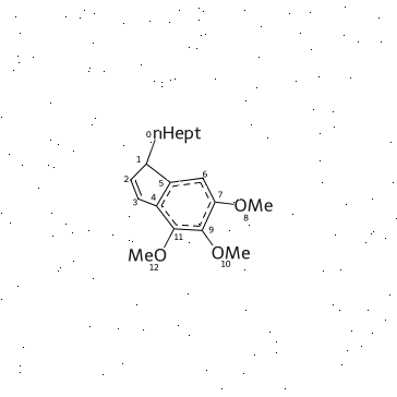 CCCCCCCC1C=Cc2c1cc(OC)c(OC)c2OC